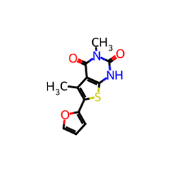 Cc1c(-c2ccco2)sc2[nH]c(=O)n(C)c(=O)c12